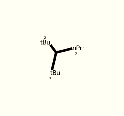 CC[CH]C(C(C)(C)C)C(C)(C)C